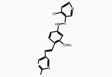 C=C(C)\N=C/C(=C\C)/C=C/c1ccc(NSc2cnccc2Cl)cc1OC